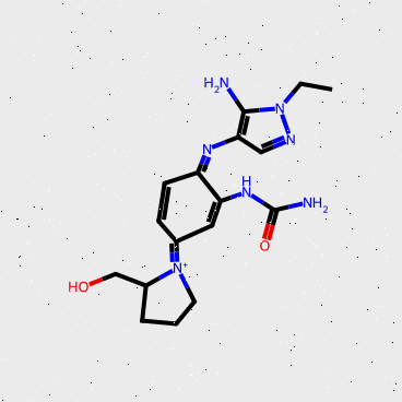 CCn1ncc(/N=C2C=C/C(=[N+]3/CCCC3CO)C=C/2NC(N)=O)c1N